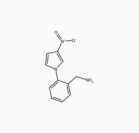 NCc1ccccc1-n1ccc([N+](=O)[O-])c1